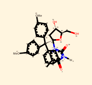 [2H]n1c(=O)c(C)cn([C@@]2(C(c3ccccc3)(c3ccc(OC)cc3)c3ccc(OC)cc3)C[C@H](O)[C@@H](CO)O2)c1=O